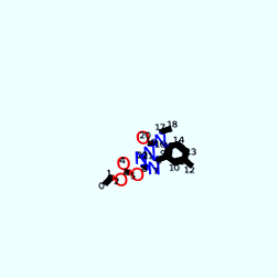 CCOC(=O)Oc1nc2c3cc(C)ccc3n(CC)c(=O)n2n1